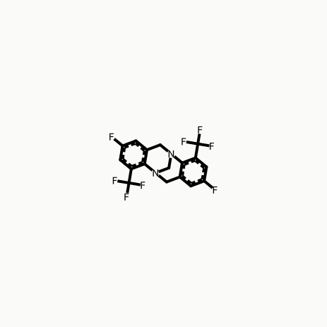 Fc1cc2c(c(C(F)(F)F)c1)N1Cc3cc(F)cc(C(F)(F)F)c3N(C2)C1